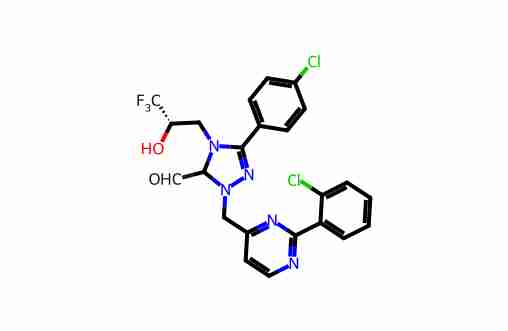 O=CC1N(Cc2ccnc(-c3ccccc3Cl)n2)N=C(c2ccc(Cl)cc2)N1C[C@H](O)C(F)(F)F